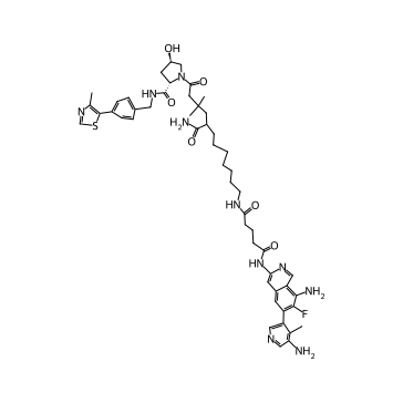 Cc1ncsc1-c1ccc(CNC(=O)[C@@H]2C[C@@H](O)CN2C(=O)CC(C)(C)CC(CCCCCCCNC(=O)CCCC(=O)Nc2cc3cc(-c4cncc(N)c4C)c(F)c(N)c3cn2)C(N)=O)cc1